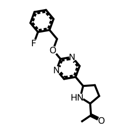 CC(=O)C1CCC(c2cnc(OCc3ccccc3F)nc2)N1